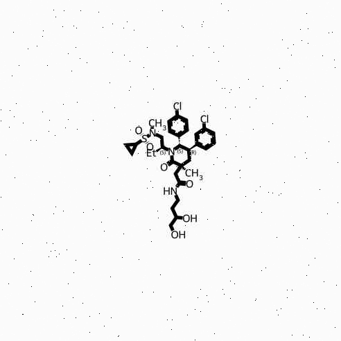 CC[C@@H](CN(C)S(=O)(=O)C1CC1)N1C(=O)[C@@](C)(CC(=O)NCCC(O)CO)C[C@H](c2cccc(Cl)c2)[C@H]1c1ccc(Cl)cc1